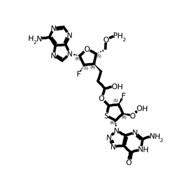 Nc1nc2c(nnn2[C@@H]2SC(OC(O)CC[C@H]3[C@H](F)[C@H](n4cnc5c(N)ncnc54)O[C@@H]3COP)[C@@H](F)[C@H]2OO)c(=O)[nH]1